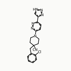 N#CC1(Cc2ccccc2Cl)CCN(c2ccc(-c3c[nH]nn3)nn2)CC1